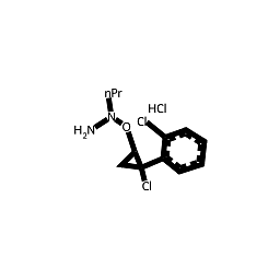 CCCN(N)OC1CC1(Cl)c1ccccc1Cl.Cl